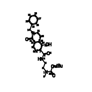 CN(CCNC(=O)c1ncc2c(=O)n(Cc3ccccc3)ccc2c1O)C(=O)OC(C)(C)C